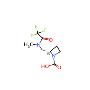 CN(C[C@@H]1CCN1C(=O)O)C(=O)C(F)(F)F